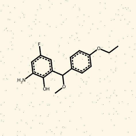 CCOc1ccc(C(OC)c2cc(F)cc(N)c2O)cc1